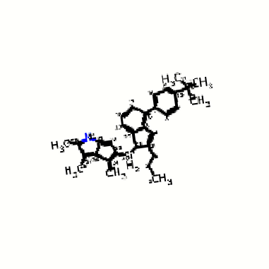 CCCC1=Cc2c(-c3ccc(C(C)(C)C)cc3)cccc2C1[SiH2]C1=C(C)C2=C(C)C(C)=NC2=C1